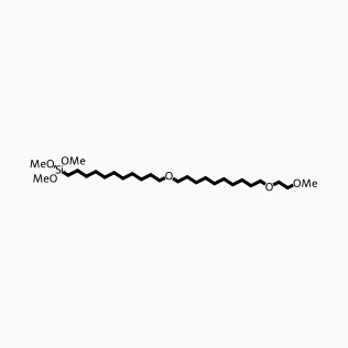 COCCOCCCCCCCCCCOCCCCCCCCCCC[Si](OC)(OC)OC